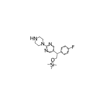 C[Si](C)(C)OCC(c1ccc(F)cc1)c1cnc(N2CCNCC2)nc1